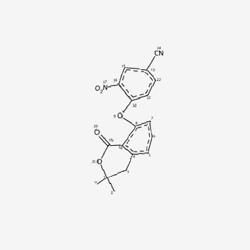 CC1(C)Cc2cccc(Oc3ccc(C#N)cc3[N+](=O)[O-])c2C(=O)O1